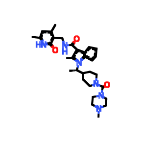 Cc1cc(C)c(CNC(=O)c2c(C)n([C@H](C)C3CCN(C(=O)N4CCN(C)CC4)CC3)c3ccccc23)c(=O)[nH]1